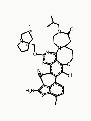 CC(C)CN1CCN2c3nc(OC[C@@]45CCCN4C[C@H](C)C5)nc4c(F)c(-c5ccc(F)c6sc(N)c(C#N)c56)c(Cl)c(c34)OCCC2CC1=O